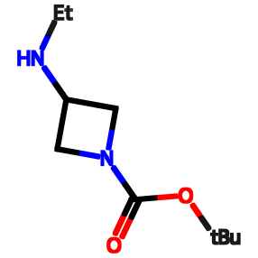 CCNC1CN(C(=O)OC(C)(C)C)C1